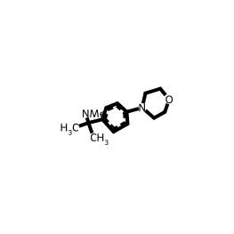 CNC(C)(C)c1ccc(N2CCOCC2)cc1